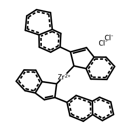 C1=C(c2ccc3ccccc3c2)[CH]([Zr+2][CH]2C(c3ccc4ccccc4c3)=Cc3ccccc32)c2ccccc21.[Cl-].[Cl-]